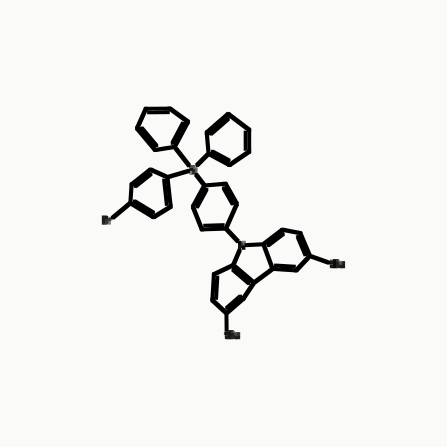 CC(C)(C)c1ccc2c(c1)c1cc(C(C)(C)C)ccc1n2-c1ccc([Si](c2ccccc2)(c2ccccc2)c2ccc(Br)cc2)cc1